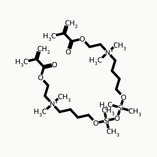 C=C(C)C(=O)OCC[N+](C)(C)CCCCO[Si](C)(C)O[Si](C)(C)OCCCC[N+](C)(C)CCOC(=O)C(=C)C